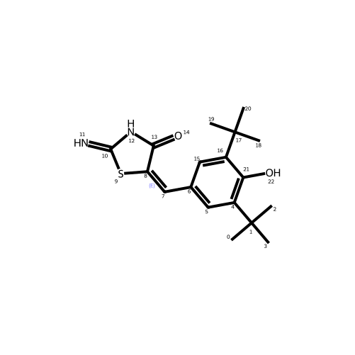 CC(C)(C)c1cc(/C=C2/SC(=N)NC2=O)cc(C(C)(C)C)c1O